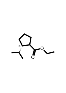 CCOC(=O)C1CCC[C@H]1C(C)C